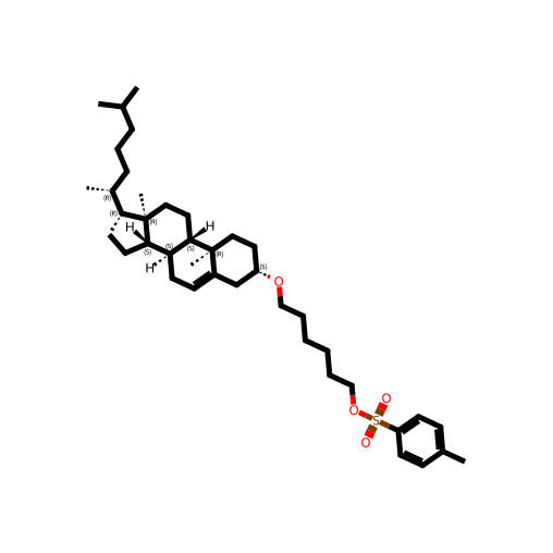 Cc1ccc(S(=O)(=O)OCCCCCCO[C@H]2CC[C@@]3(C)C(=CC[C@H]4[C@@H]5CC[C@H]([C@H](C)CCCC(C)C)[C@@]5(C)CC[C@@H]43)C2)cc1